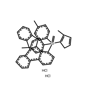 Cl.Cl.[CH2]=[Zr]([C]1=C(C)C=CC1)([c]1ccc(C)cc1)([c]1ccc(C)cc1)[c]1cccc2c1c1c(c3ccccc32)-c2ccccc2C1